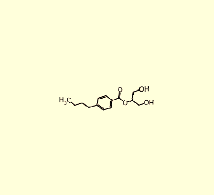 CCCCc1ccc(C(=O)OC(CO)CO)cc1